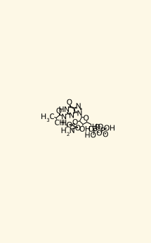 CC(C)C(=O)Nc1nc2c(ncn2C2OC(COP(=O)(O)OP(=O)(O)O)C(O)C2OS(N)(=O)=O)c(=O)[nH]1